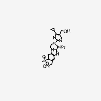 CC(C)[C@@H]1c2nc3cc(CN=O)c(S(C)(=O)=O)cc3n2CCN1c1ncc(CO)c(C2CC2)n1